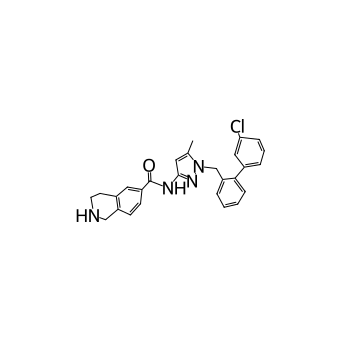 Cc1cc(NC(=O)c2ccc3c(c2)CCNC3)nn1Cc1ccccc1-c1cccc(Cl)c1